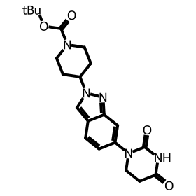 CC(C)(C)OC(=O)N1CCC(n2cc3ccc(N4CCC(=O)NC4=O)cc3n2)CC1